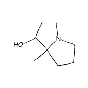 CC(O)C1(C)CCCN1C